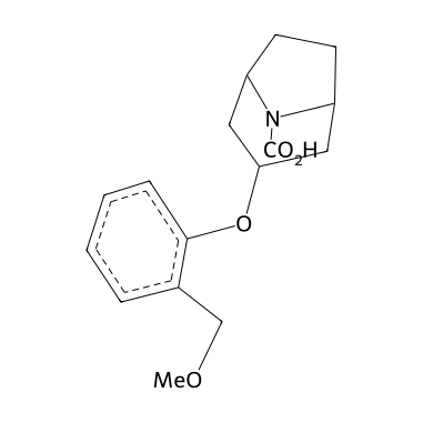 COCc1ccccc1OC1CC2CCC(C1)N2C(=O)O